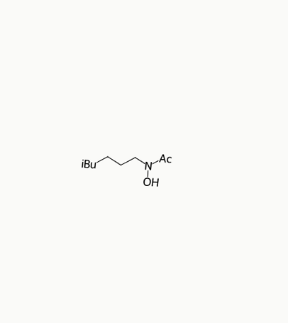 CCC(C)CCCN(O)C(C)=O